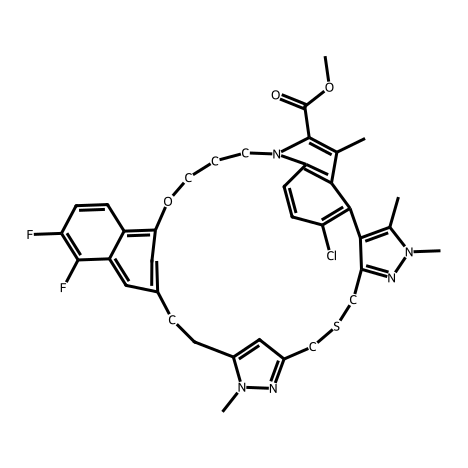 COC(=O)c1c(C)c2c3c(Cl)ccc2n1CCCOc1cc(cc2c(F)c(F)ccc12)CCc1cc(nn1C)CSCc1nn(C)c(C)c1-3